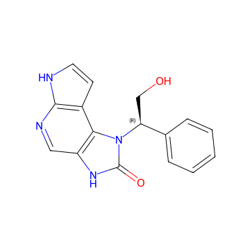 O=c1[nH]c2cnc3[nH]ccc3c2n1[C@@H](CO)c1ccccc1